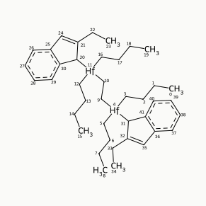 CCC[CH2][Hf]([CH2]CCC)([CH2][CH2][Hf]([CH2]CCC)([CH2]CCC)[CH]1C(CC)=Cc2ccccc21)[CH]1C(CC)=Cc2ccccc21